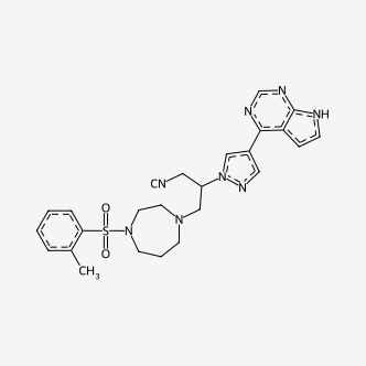 [C-]#[N+]CC(CN1CCCN(S(=O)(=O)c2ccccc2C)CC1)n1cc(-c2ncnc3[nH]ccc23)cn1